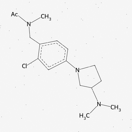 CC(=O)N(C)Cc1ccc(N2CCC(N(C)C)C2)cc1Cl